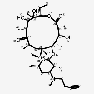 C#CCCN(C)[C@H]1C[C@@H](C)O[C@@H](O[C@@H]2[C@@H](C)[C@H](O)[C@@H](C)C(=O)O[C@H](CC)[C@@](C)(O)[C@H](O)[C@@H](C)C(=O)[C@H](C)C[C@@]2(C)OC)[C@@H]1C